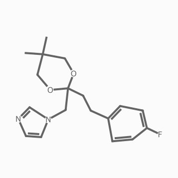 CC1(C)COC(CCc2ccc(F)cc2)(Cn2ccnc2)OC1